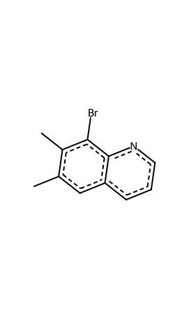 Cc1cc2cccnc2c(Br)c1C